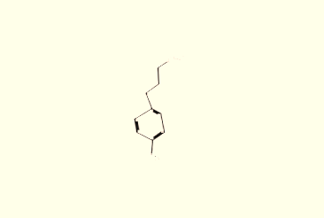 N#Cc1ccc(CCCC=O)cc1